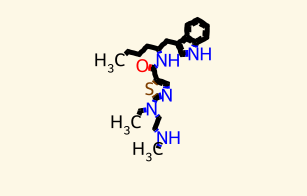 CCCCC(Cc1c[nH]c2ccccc12)NC(=O)c1cnc(N(CC)CCNC)s1